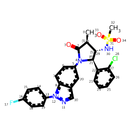 C[C@@H]1C(=O)N(c2ccc3c(cnn3-c3ccc(F)cc3)c2)[C@H](c2ccccc2Cl)[C@H]1NS(C)(=O)=O